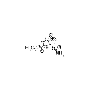 CCOC(=O)c1ccc([N+](=O)[O-])c(COC(N)=O)c1